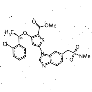 CNS(=O)(=O)Cc1ccc2ncn(-c3cc(O[C@H](C)c4ccccc4Cl)c(C(=O)OC)s3)c2c1